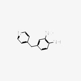 Nc1ccc(Cc2ccncc2)cc1[N+](=O)[O-]